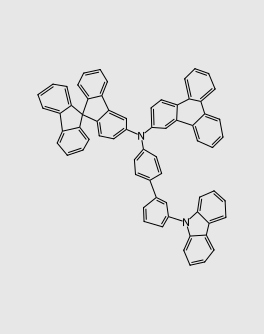 c1cc(-c2ccc(N(c3ccc4c(c3)-c3ccccc3C43c4ccccc4-c4ccccc43)c3ccc4c5ccccc5c5ccccc5c4c3)cc2)cc(-n2c3ccccc3c3ccccc32)c1